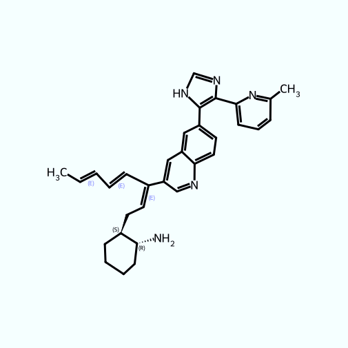 C/C=C/C=C/C(=C\C[C@@H]1CCCC[C@H]1N)c1cnc2ccc(-c3[nH]cnc3-c3cccc(C)n3)cc2c1